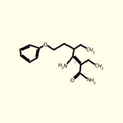 CC/C(C(N)=O)=C(/N)C(CC)CCOc1ccccc1